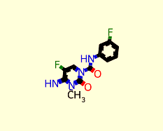 Cn1c(=N)c(F)cn(C(=O)Nc2cccc(F)c2)c1=O